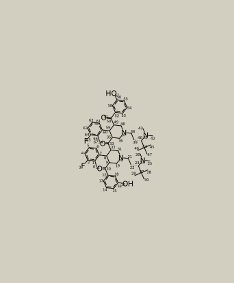 Cc1c(F)cccc1C1C(C(=O)c2cccc(O)c2)CN(CC[C@H](N(C)C)C(C)(C)C)CC1C(=O)C1CN(CC[C@H](N(C)C)C(C)(C)C)CC(C(=O)c2cccc(O)c2)C1c1cccc(F)c1C